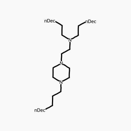 CCCCCCCCCCCCCN1CCN(CCN(CCCCCCCCCCCC)CCCCCCCCCCCC)CC1